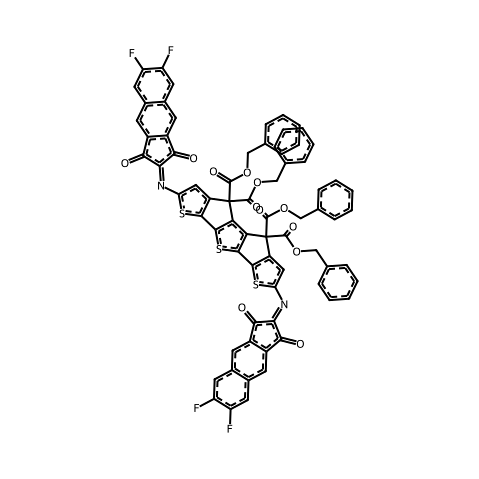 O=C(OCc1ccccc1)C1(C(=O)OCc2ccccc2)c2cc(N=c3c(=O)c4cc5cc(F)c(F)cc5cc4c3=O)sc2-c2sc3c(c21)C(C(=O)OCc1ccccc1)(C(=O)OCc1ccccc1)c1cc(N=c2c(=O)c4cc5cc(F)c(F)cc5cc4c2=O)sc1-3